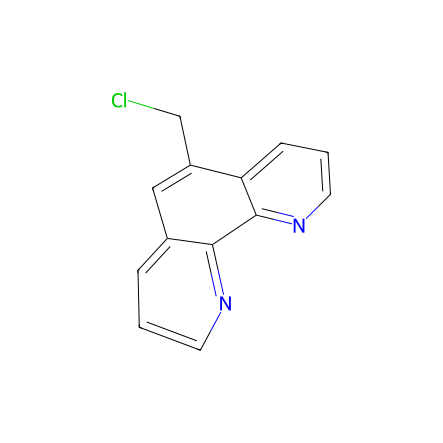 ClCc1cc2cccnc2c2ncccc12